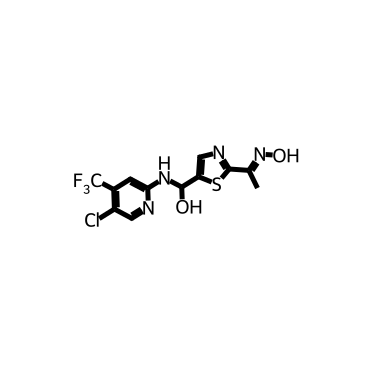 C/C(=N\O)c1ncc(C(O)Nc2cc(C(F)(F)F)c(Cl)cn2)s1